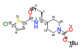 CC(C)C[C@H](NC(=O)c1ccc(Cl)s1)C1CCN(C(=O)OC(C)(C)C)CC1